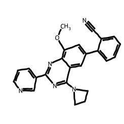 COc1cc(-c2ccccc2C#N)cc2c(N3CCC3)nc(-c3cccnc3)nc12